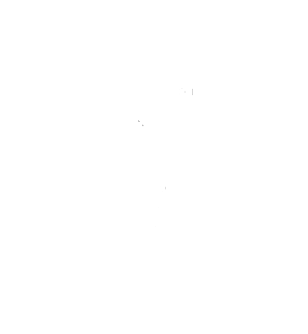 CC(C)(C)[Si](C)(C)OC1CCCc2nc(CO)ccc21